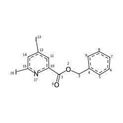 O=C(OCc1ccccc1)c1cc(I)cc(I)n1